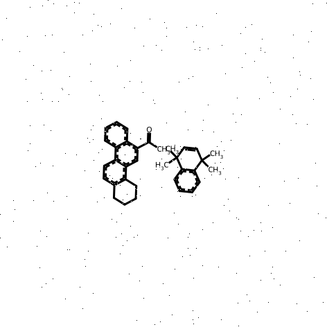 CC(=O)c1cc2c3c(ccc2c2ccccc12)CCCC3.CC1(C)C=CC(C)(C)c2ccccc21